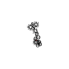 O=C(COc1ccc([S+]2c3ccccc3Sc3ccccc32)cc1)OC1C2CC3C1OS(=O)(=O)C3C2